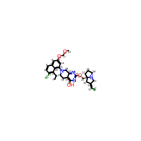 CCc1c(F)ccc2cc(OCOC)cc(N3CCc4c(O)nc(OC[C@@]56CCCN5C/C(=C\F)C6)nc4C3)c12